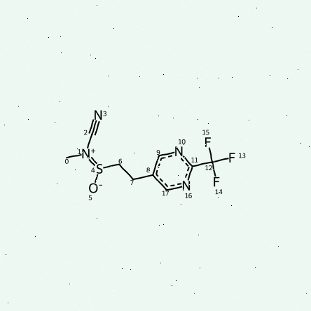 C[N+](C#N)=S([O-])CCc1cnc(C(F)(F)F)nc1